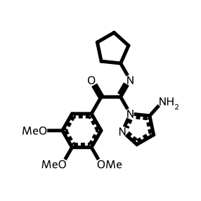 COc1cc(C(=O)/C(=N\C2CCCC2)n2nccc2N)cc(OC)c1OC